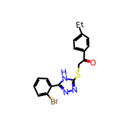 CCc1ccc(C(=O)CSc2nnc(-c3ccccc3Br)[nH]2)cc1